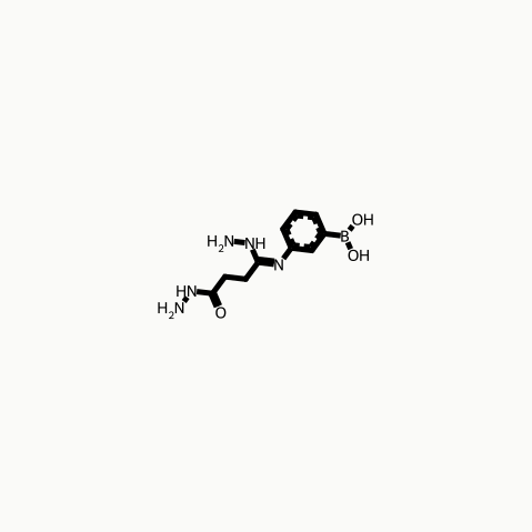 NNC(=O)CCC(=Nc1cccc(B(O)O)c1)NN